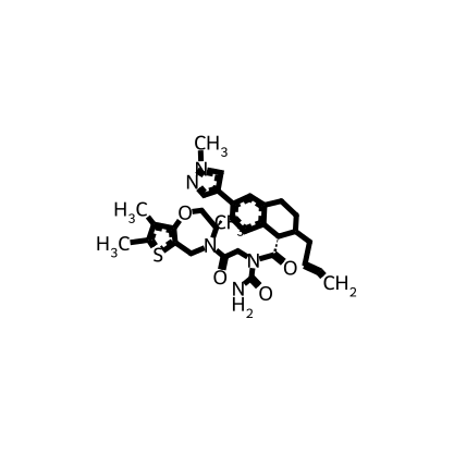 C=C=CCC1CCc2cc(-c3cnn(C)c3)ccc2[C@H]1C(=O)N(CC(=O)N1Cc2sc(C)c(C)c2OC[C@@H]1C(F)(F)F)C(N)=O